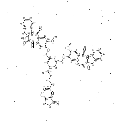 COc1cc2c(cc1OCc1cc(COc3cc4c(cc3OC)C(=O)N3c5ccccc5C[C@H]3C(=O)N4)cc(N(C)CCCC(=O)OC3C(=O)CCC3=O)c1)N=C[C@@H]1Cc3ccccc3N1C2=O